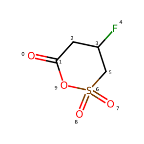 O=C1CC(F)CS(=O)(=O)O1